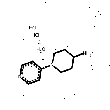 Cl.Cl.Cl.NC1CCN(c2ccncc2)CC1.O